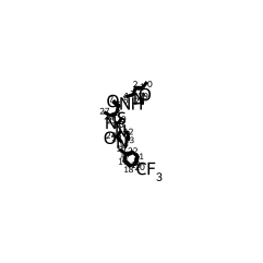 Cc1cc(CNC(=O)c2sc(N3CCN(Cc4ccc(C(F)(F)F)cc4)C3=O)nc2C)no1